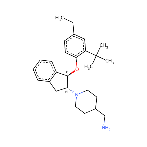 CCc1ccc(O[C@@H]2c3ccccc3C[C@H]2N2CCC(CN)CC2)c(C(C)(C)C)c1